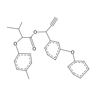 C#CC(OC(=O)C(Oc1ccc(C)cc1)C(C)C)c1cccc(Oc2ccccc2)c1